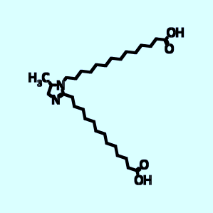 CC1CN=C(CCCCCCCCCCCCC(=O)O)N1CCCCCCCCCCCCCC(=O)O